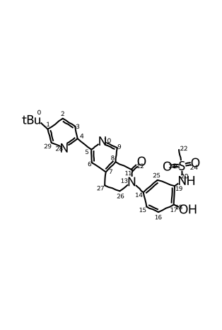 CC(C)(C)c1ccc(-c2cc3c(cn2)C(=O)N(c2ccc(O)c(NS(C)(=O)=O)c2)CC3)nc1